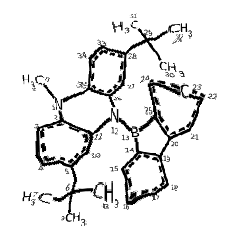 CN1c2ccc(C(C)(C)C)cc2N(B2c3ccccc3-c3ccccc32)c2cc(C(C)(C)C)ccc21